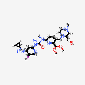 COC(OC)c1nc(N(C)C(=O)Nc2cc(NC3CC3)c(I)cn2)ccc1CN1CCN(C)CC1=C=O